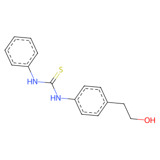 OCCc1ccc(NC(=S)Nc2ccccc2)cc1